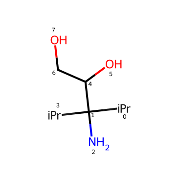 CC(C)C(N)(C(C)C)C(O)CO